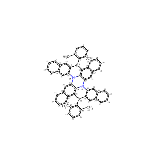 Cc1cccc(C)c1B1c2cc3ccccc3cc2N2c3cc4ccccc4c4c3N(c3cc5ccccc5cc3B4c3c(C)cccc3C)c3cc4ccccc4c1c32